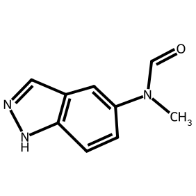 CN(C=O)c1ccc2[nH]ncc2c1